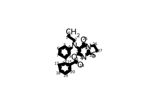 C=CCN(c1ccccc1)c1c(OC(=O)c2ccccc2)nc2n(c1=O)CCS2